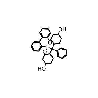 O=P1(C(c2ccccc2)(C2CCC(O)CC2)C2CCC(O)CC2)Oc2ccccc2-c2ccccc21